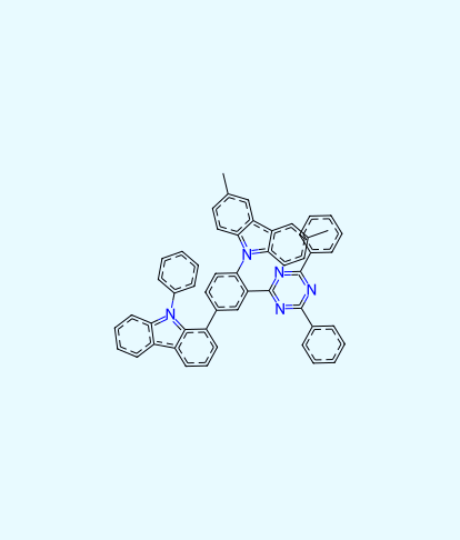 Cc1ccc2c(c1)c1cc(C)ccc1n2-c1ccc(-c2cccc3c4ccccc4n(-c4ccccc4)c23)cc1-c1nc(-c2ccccc2)nc(-c2ccccc2)n1